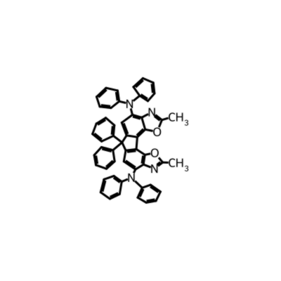 Cc1nc2c(N(c3ccccc3)c3ccccc3)cc3c(c2o1)-c1c(cc(N(c2ccccc2)c2ccccc2)c2nc(C)oc12)C3(c1ccccc1)c1ccccc1